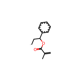 [CH2]CC(OC(=O)C(=C)C)c1ccccc1